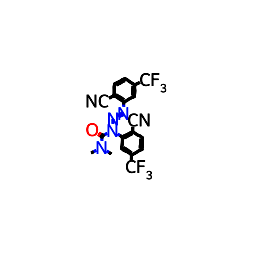 CN(C)C(=O)N(N=Nc1cc(C(F)(F)F)ccc1C#N)c1cc(C(F)(F)F)ccc1C#N